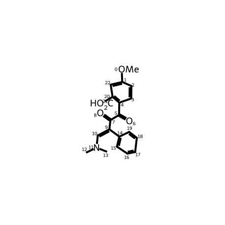 COc1ccc(C(=O)C(=O)C(=CN(C)C)c2ccccc2)c(C(=O)O)c1